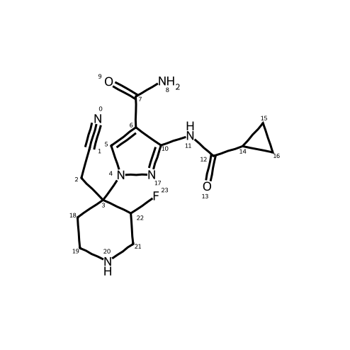 N#CCC1(n2cc(C(N)=O)c(NC(=O)C3CC3)n2)CCNCC1F